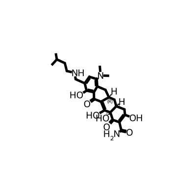 CC(C)CCNCc1cc(N(C)C)c2c(c1O)C(=O)C1=C(O)[C@]3(O)C(=O)C(C(N)=O)=C(O)C[C@@H]3C[C@@H]1C2